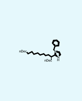 CCCCCCCCCCCCCCCCCC[C@H](CCCCCCCCCC)c1[nH]cc[n+]1Cc1ccccc1